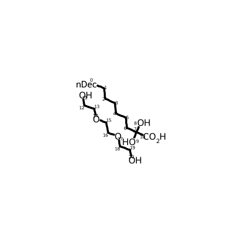 CCCCCCCCCCCCCCCCC(O)(O)C(=O)O.OCCOCCOCCO